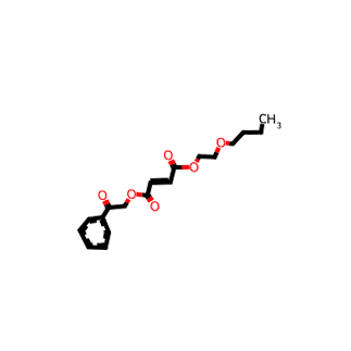 CCCCOCCOC(=O)/C=C/C(=O)OCC(=O)c1ccccc1